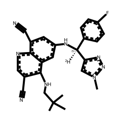 [2H][C@](Nc1cc(C#N)c2ncc(C#N)c(NCC(C)(C)C)c2c1)(c1ccc(F)cc1)c1cn(C)nn1